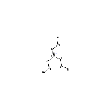 [CH2]CC/C(=C/CC)CCC